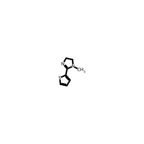 CN1CCN=C1c1cccs1